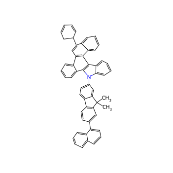 CC1(C)c2cc(-c3cccc4ccccc34)ccc2-c2ccc(-n3c4ccccc4c4c5c6ccccc6c(C6C=CC=CC6)cc5c5ccccc5c43)cc21